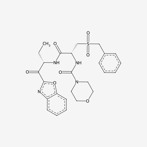 CC[C@H](NC(=O)[C@H](CS(=O)(=O)Cc1ccccc1)NC(=O)N1CCOCC1)C(=O)c1nc2ccccc2o1